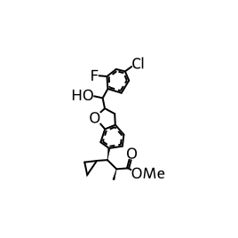 COC(=O)[C@@H](C)[C@H](c1ccc2c(c1)OC(C(O)c1ccc(Cl)cc1F)C2)C1CC1